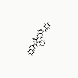 O=C(NS(=O)(=O)c1ccc2ccccc2c1)C(Cc1cnn(Cc2ccccc2)c1)C(=O)N1CCOCC1